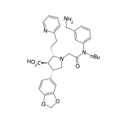 CCCCN(C(=O)CN1C[C@H](c2ccc3c(c2)OCO3)[C@@H](C(=O)O)[C@@H]1CCc1ccccn1)c1cccc(CN)c1